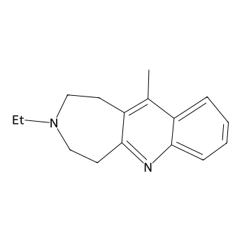 CCN1CCc2nc3ccccc3c(C)c2CC1